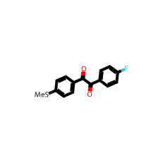 CSc1ccc(C(=O)C(=O)c2ccc(F)cc2)cc1